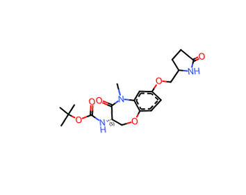 CN1C(=O)[C@@H](NC(=O)OC(C)(C)C)COc2ccc(OCC3CCC(=O)N3)cc21